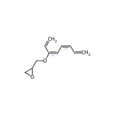 C=C/C=C\C=C(/C=C)OCC1CO1